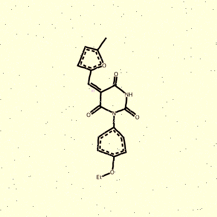 CCOc1ccc(N2C(=O)NC(=O)/C(=C\c3ccc(C)o3)C2=O)cc1